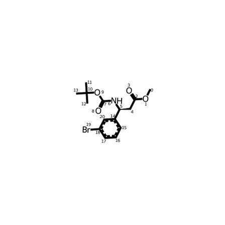 COC(=O)C[C@H](NC(=O)OC(C)(C)C)c1cccc(Br)c1